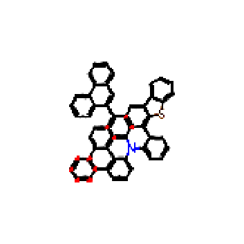 c1ccc(-c2ccccc2-c2c(-c3ccccc3)cccc2N(c2ccc(-c3cc4ccccc4c4ccccc34)cc2)c2ccccc2-c2cccc3c2sc2ccccc23)cc1